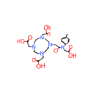 Cc1ccc(N(CC(=O)O)C(=O)CN2CCN(CC(=O)O)CCN(CC(=O)O)CCN(CC(=O)O)CC2)cc1